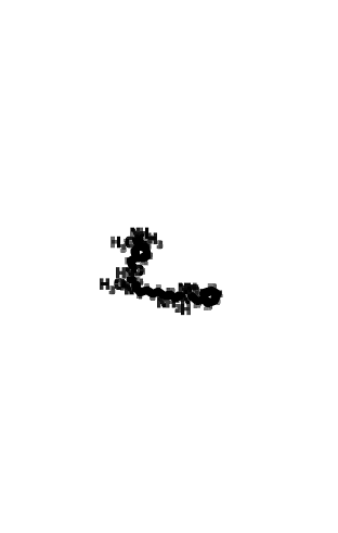 CN1N=C(CCCC/C(N)=C/C=C(\N)NC(=O)Cc2ccccc2)SC1NC(=O)Cc1cccc(C(C)(C)N)c1